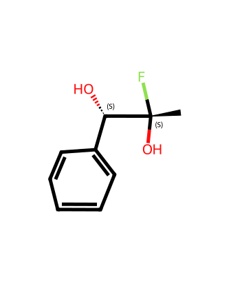 C[C@](O)(F)[C@@H](O)c1ccccc1